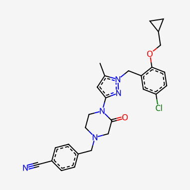 Cc1cc(N2CCN(Cc3ccc(C#N)cc3)CC2=O)nn1Cc1cc(Cl)ccc1OCC1CC1